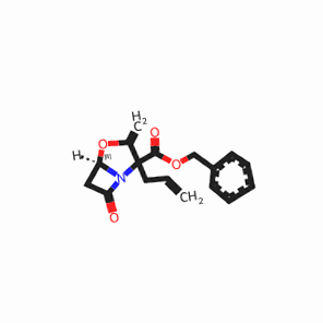 C=CCC1(C(=O)OCc2ccccc2)C(=C)O[C@@H]2CC(=O)N21